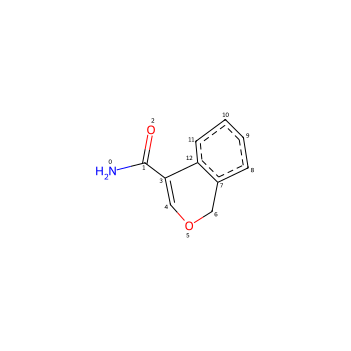 NC(=O)C1=COCc2ccccc21